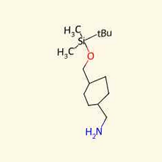 CC(C)(C)[Si](C)(C)OCC1CCC(CN)CC1